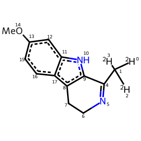 [2H]C([2H])([2H])C1=NCCc2c1[nH]c1cc(OC)ccc21